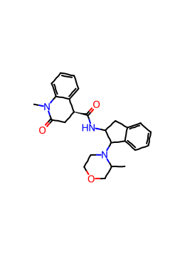 CC1COCCN1C1c2ccccc2CC1NC(=O)[C@H]1CC(=O)N(C)c2ccccc21